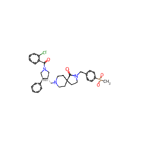 CS(=O)(=O)c1ccc(CN2CCC3(CCN(C[C@H]4CN(C(=O)c5ccccc5Cl)C[C@@H]4c4ccccc4)CC3)C2=O)cc1